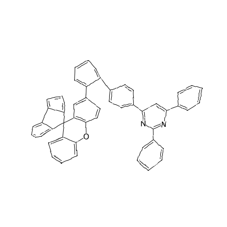 c1ccc(-c2cc(-c3ccc(-c4ccccc4-c4ccc5c(c4)C4(c6ccccc6O5)c5ccccc5-c5ccccc54)cc3)nc(-c3ccccc3)n2)cc1